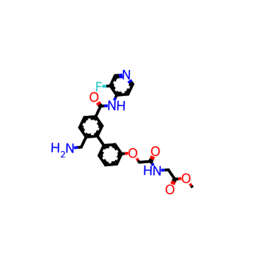 COC(=O)CNC(=O)COc1cccc(-c2cc(C(=O)Nc3ccncc3F)ccc2CN)c1